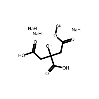 O=C(O)CC(O)(CC(=O)[O][Au])C(=O)O.[NaH].[NaH].[NaH]